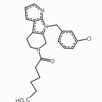 O=C(O)CCCCC(=O)N1CCc2c(n(Cc3cccc(Cl)c3)c3ncccc23)C1